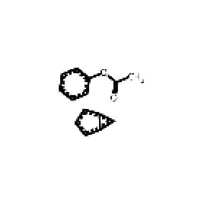 CC(=O)Oc1ccccc1.c1cc2cc-2c1